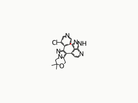 CC1(C)Cn2nc(-c3ccncc3Cl)c(-c3ccnc4[nH]ncc34)c2CO1